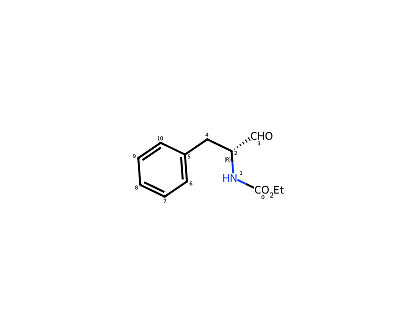 CCOC(=O)N[C@@H](C=O)Cc1ccccc1